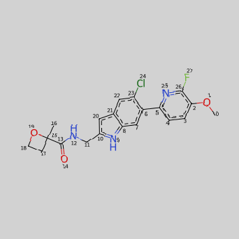 COc1ccc(-c2cc3[nH]c(CNC(=O)C4(C)CCO4)cc3cc2Cl)nc1F